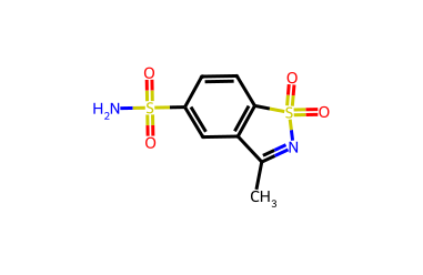 CC1=NS(=O)(=O)c2ccc(S(N)(=O)=O)cc21